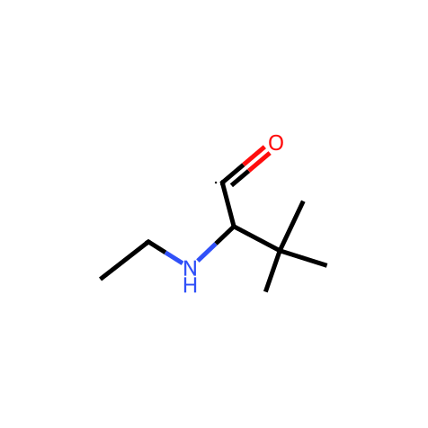 CCNC([C]=O)C(C)(C)C